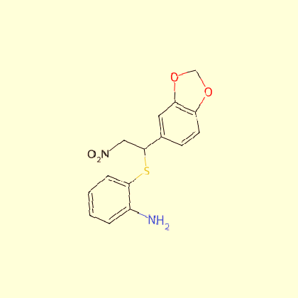 Nc1ccccc1SC(C[N+](=O)[O-])c1ccc2c(c1)OCO2